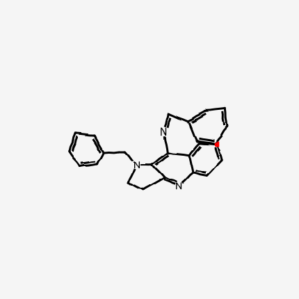 C(=N/c1c2c(nc3ccccc13)CCN2Cc1ccccc1)/c1ccccc1